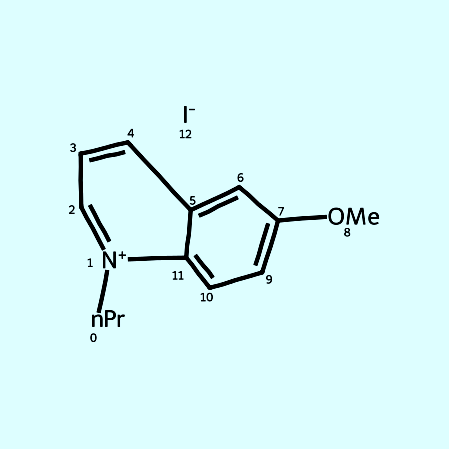 CCC[n+]1cccc2cc(OC)ccc21.[I-]